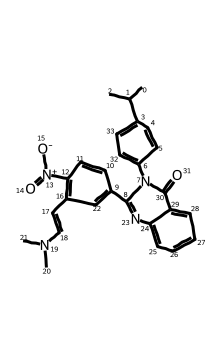 CC(C)c1ccc(-n2c(-c3ccc([N+](=O)[O-])c(C=CN(C)C)c3)nc3ccccc3c2=O)cc1